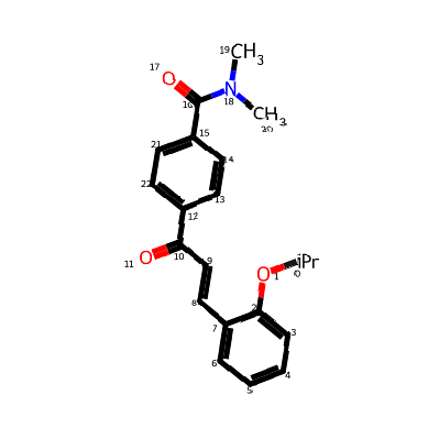 CC(C)Oc1ccccc1/C=C/C(=O)c1ccc(C(=O)N(C)C)cc1